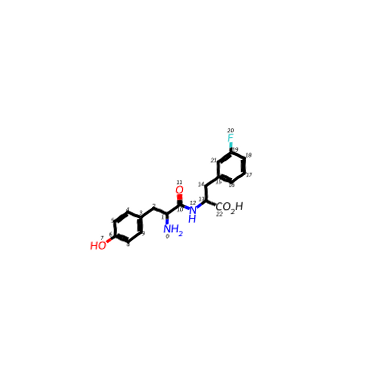 NC(Cc1ccc(O)cc1)C(=O)NC(Cc1cccc(F)c1)C(=O)O